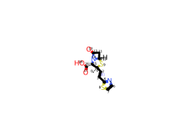 C[C@@]1(/C=C/c2nccs2)S[C@@H]2CC(=O)N2[C@H]1C(=O)O